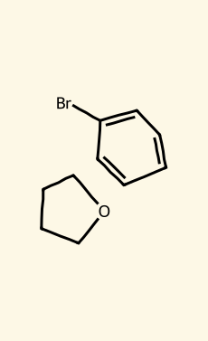 Brc1ccccc1.C1CCOC1